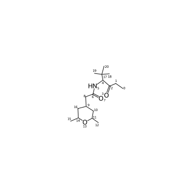 CCC(=O)C(NC(=O)CC1CC(C)OC(C)C1)C(C)(C)C